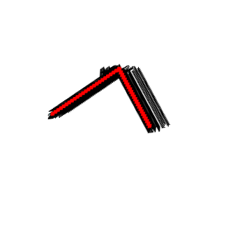 Cl.Cl.Cl.Cl.Cl.[Zn+2].[Zn+2].[Zn+2].[Zn+2].[Zn+2].[Zn+2].[Zn+2].[Zn+2].[Zn+2].[Zn+2].[Zn+2].[Zn+2].[Zn+2].[Zn+2].[Zn+2].[Zn+2].[Zn+2].[Zn+2].[Zn+2].[Zn+2].[Zn+2].[Zn+2].[Zn+2].[Zn+2].[Zn+2].[Zn+2].[Zn+2].[Zn+2].[Zn+2].[Zn+2].[Zn+2].[Zn+2].[Zn+2].[Zn+2].[Zn+2].[Zn+2].[Zn+2].[Zn+2].[Zn+2].[Zn+2].[Zn+2].[Zn+2].[Zn+2].[Zn+2].[Zn+2].[Zn+2].[Zn+2].[Zn+2].[Zn+2].[Zn+2].[Zn+2].[Zn+2].[Zn+2].[Zn+2].[Zn+2].[Zn+2].[Zn+2].[Zn+2].[Zn+2].[Zn+2].[Zn+2].[Zn+2].[Zn+2].[Zn+2].[Zn+2].[Zn+2].[Zn+2].[Zn+2].[Zn+2].[Zn+2].[Zn+2].[Zn+2].[Zn+2].[Zn+2].[Zn+2].[Zn+2].[Zn+2].[Zn+2].[Zn+2].[Zn+2].[Zn+2].[Zn+2].[Zn+2].[Zn+2].[Zn+2].[Zn+2].[Zn+2].[Zn+2].[Zn+2].[Zn+2].[Zn+2].[Zn+2].[Zn+2].[Zn+2]